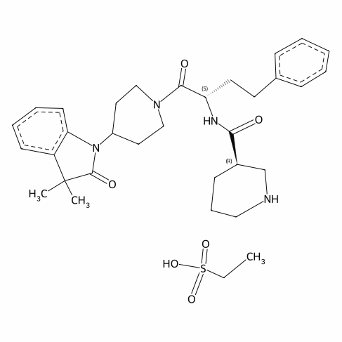 CC1(C)C(=O)N(C2CCN(C(=O)[C@H](CCc3ccccc3)NC(=O)[C@@H]3CCCNC3)CC2)c2ccccc21.CCS(=O)(=O)O